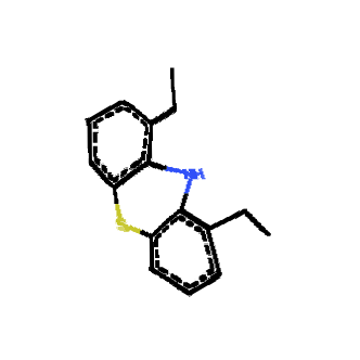 CCc1cccc2c1Nc1c(CC)cccc1S2